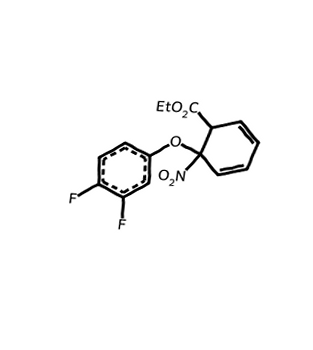 CCOC(=O)C1C=CC=CC1(Oc1ccc(F)c(F)c1)[N+](=O)[O-]